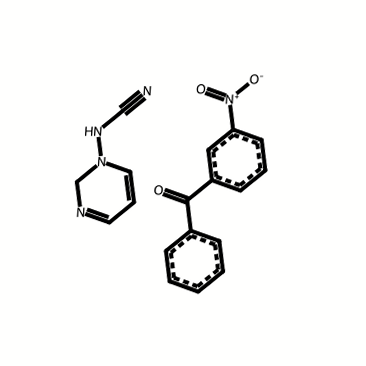 N#CNN1C=CC=NC1.O=C(c1ccccc1)c1cccc([N+](=O)[O-])c1